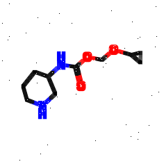 O=C(NC1CCCNC1)OCOC1CC1